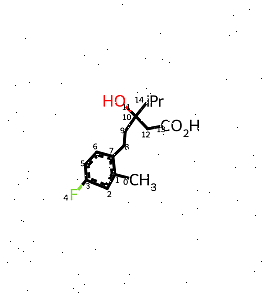 Cc1cc(F)ccc1CCC(O)(CC(=O)O)C(C)C